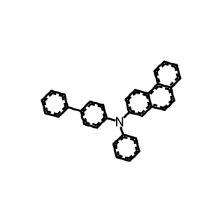 c1ccc(-c2ccc(N(c3ccccc3)c3ccc4c(ccc5ccccc54)c3)cc2)cc1